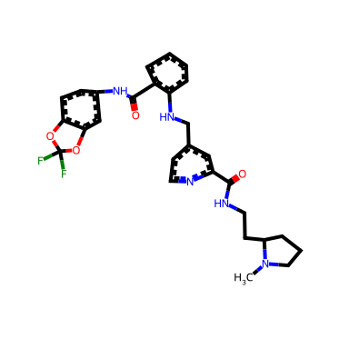 CN1CCCC1CCNC(=O)c1cc(CNc2ccccc2C(=O)Nc2ccc3c(c2)OC(F)(F)O3)ccn1